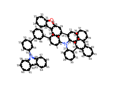 c1cc(-c2ccc(N(c3ccccc3-c3ccc4c(c3)oc3ccccc34)c3ccccc3-c3cc4ccccc4c4ccccc34)cc2)cc(-c2cccc(-n3c4ccccc4c4ccccc43)c2)c1